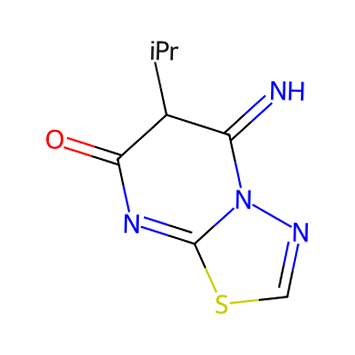 CC(C)C1C(=N)N2N=CSC2=NC1=O